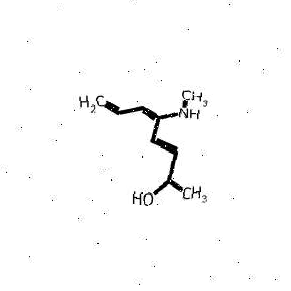 C=C/C=C(\C=C\C(C)O)NC